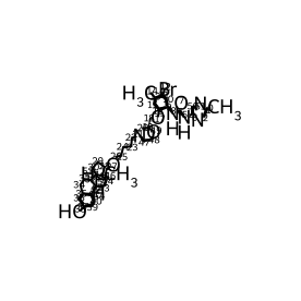 Cc1cnc(NC(=O)Nc2cc(Br)c(C)cc2OC[C@@H]2CN(CCCCCO[C@H]3CC[C@H]4[C@@H]5CCc6cc(O)ccc6[C@H]5CC[C@]34C)CCO2)cn1